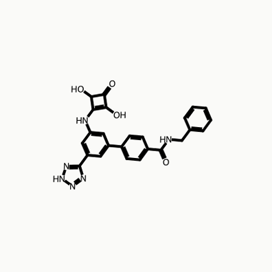 O=C(NCc1ccccc1)c1ccc(-c2cc(NC3=C(O)C(=O)C3O)cc(-c3nn[nH]n3)c2)cc1